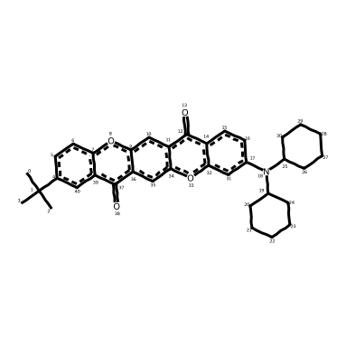 CC(C)(C)c1ccc2oc3cc4c(=O)c5ccc(N(C6CCCCC6)C6CCCCC6)cc5oc4cc3c(=O)c2c1